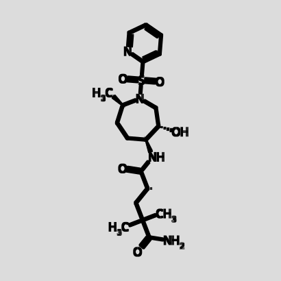 C[C@@H]1CC[C@H](NC(=O)[CH]CC(C)(C)C(N)=O)[C@@H](O)CN1S(=O)(=O)c1ccccn1